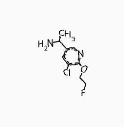 CC(N)c1cnc(OCCF)c(Cl)c1